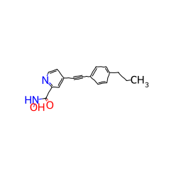 CCCc1ccc(C#Cc2ccnc(C(=O)NO)c2)cc1